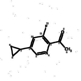 CC(=O)c1ncc(C2CC2)cc1F